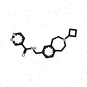 O=C(NCc1ccc2c(c1)CCN(C1CCC1)CC2)c1ccnnc1